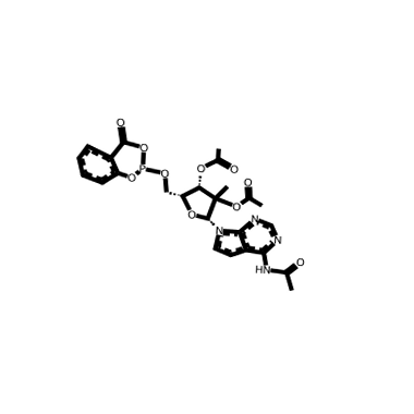 CC(=O)Nc1ncnc2c1ccn2[C@@H]1O[C@H](COP2OC(=O)c3ccccc3O2)[C@H](OC(C)=O)C1(C)OC(C)=O